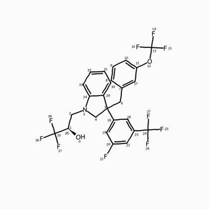 O[C@H](CN1CC(Cc2cccc(OC(F)(F)F)c2)(c2cc(F)cc(C(F)(F)F)c2)c2ccccc21)C(F)(F)F